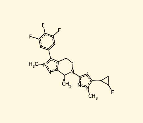 C[C@H]1c2nn(C)c(-c3cc(F)c(F)c(F)c3)c2CCN1c1[c]c(C2CC2F)n(C)n1